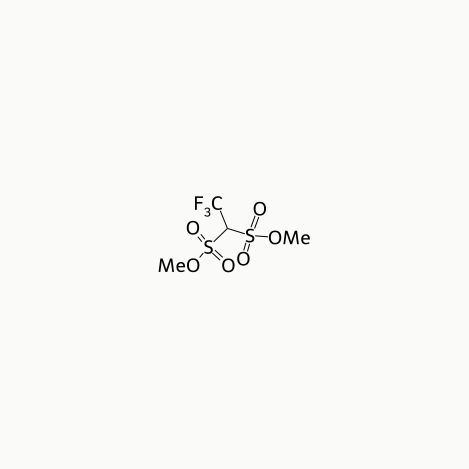 COS(=O)(=O)C(C(F)(F)F)S(=O)(=O)OC